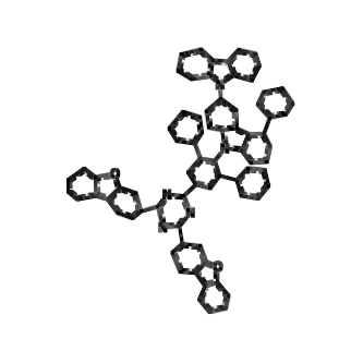 c1ccc(-c2cc(-c3nc(-c4ccc5c(c4)oc4ccccc45)nc(-c4ccc5c(c4)oc4ccccc45)n3)cc(-c3ccccc3)c2-n2c3ccc(-n4c5ccccc5c5ccccc54)cc3c3c(-c4ccccc4)cccc32)cc1